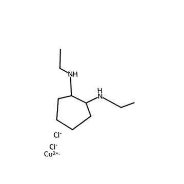 CCNC1CCCCC1NCC.[Cl-].[Cl-].[Cu+2]